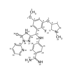 COc1cc(OC2CCN(C)C2)c(F)c(C(Nc2ccc(C(=N)N)cc2)c2nn(-c3ccccn3)c(=O)[nH]2)c1